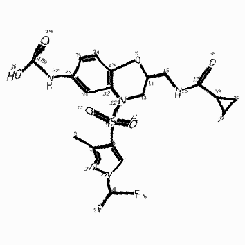 Cc1nn(C(F)F)cc1S(=O)(=O)N1CC(CNC(=O)C2CC2)Oc2ccc(NC(=O)O)cc21